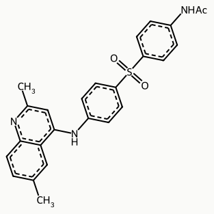 CC(=O)Nc1ccc(S(=O)(=O)c2ccc(Nc3cc(C)nc4ccc(C)cc34)cc2)cc1